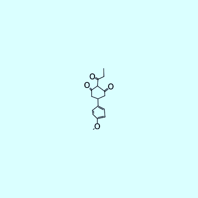 CCC(=O)C1C(=O)CC(c2ccc(OC)cc2)CC1=O